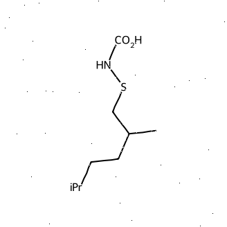 CC(C)CCC(C)CSNC(=O)O